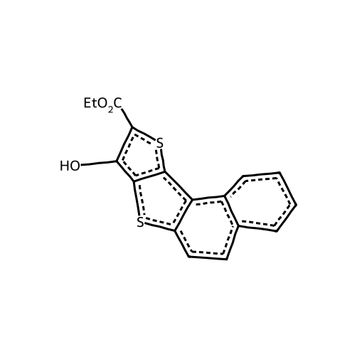 CCOC(=O)c1sc2c(sc3ccc4ccccc4c32)c1O